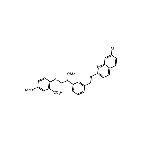 COc1ccc(OCC(OC)c2cccc(/C=C/c3ccc4ccc(Cl)cc4n3)c2)c(C(=O)O)c1